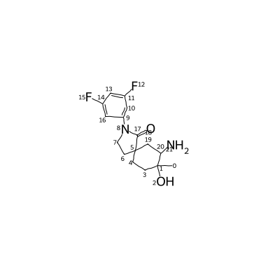 CC1(O)CCC2(CCN(c3cc(F)cc(F)c3)C2=O)CC1N